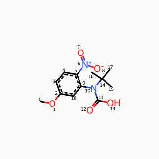 COc1ccc([N+](=O)[O-])c(N(C(=O)O)C(C)(C)C)c1